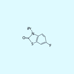 CC(C)n1c(=O)sc2cc(F)ccc21